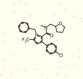 CN(CC1CCCO1)C(=O)c1c(-c2ccc(Cl)cc2)cc(C(F)(F)F)n1Cc1ccccc1